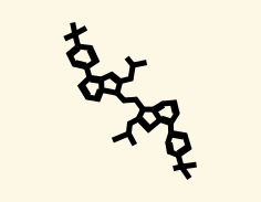 CC(C)CC1=Cc2c(-c3ccc(C(C)(C)C)cc3)cccc2C1CCC1C(CC(C)C)=Cc2c(-c3ccc(C(C)(C)C)cc3)cccc21